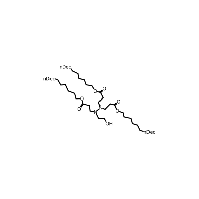 CCCCCCCCCCCCCCCCOC(=O)CCN(CCO)N(CCC(=O)OCCCCCCCCCCCCCCCC)CCC(=O)OCCCCCCCCCCCCCCCC